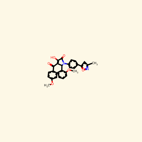 COc1ccc(C(=O)C2=C(O)C(=O)N(c3ccc(-c4cc(C)no4)cc3)C2c2ccccc2OC)cc1